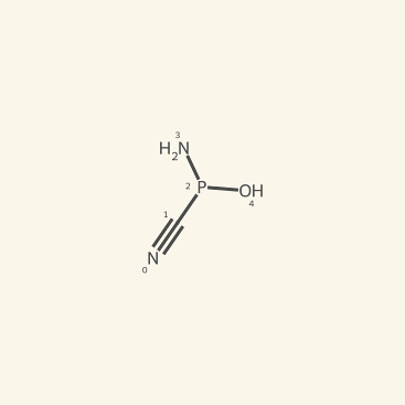 N#CP(N)O